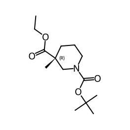 CCOC(=O)[C@]1(C)CCCN(C(=O)OC(C)(C)C)C1